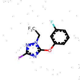 Fc1cccc(Oc2nc(I)nn2CC(F)(F)F)c1